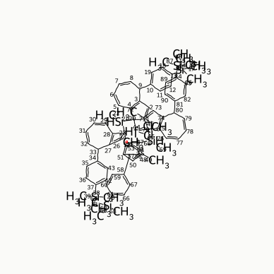 CC1=CC2=C(C=CC=CC2c2ccc([Si](C)(C)C)cc2)[C]12[SiH](C)[C]1(C(C)=CC3=C1C=CC=CC3c1ccc([Si](C)(C)C)cc1)[Hf]21([Cl])([Cl])[C]2(C(C)=CC3=C2C=CC=CC3c2ccc([Si](C)(C)C)cc2)[SiH](C)[C]12C(C)=CC1=C2C=CC=CC1c1ccc([Si](C)(C)C)cc1